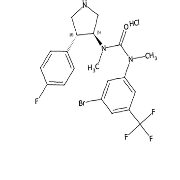 CN(C(=O)N(C)[C@@H]1CNC[C@H]1c1ccc(F)cc1)c1cc(Br)cc(C(F)(F)F)c1.Cl